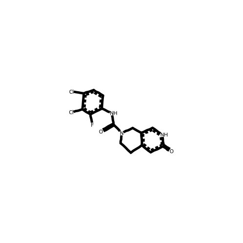 O=C(Nc1ccc(Cl)c(Cl)c1F)N1CCc2cc(=O)[nH]cc2C1